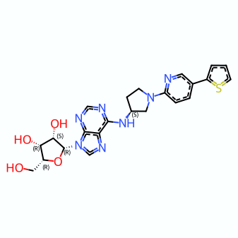 OC[C@H]1O[C@@H](n2cnc3c(N[C@H]4CCN(c5ccc(-c6cccs6)cn5)C4)ncnc32)[C@@H](O)[C@H]1O